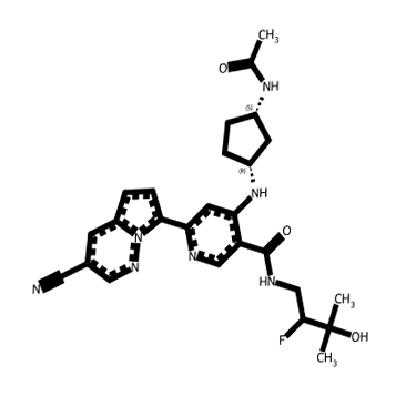 CC(=O)N[C@H]1CC[C@@H](Nc2cc(-c3ccc4cc(C#N)cnn34)ncc2C(=O)NCC(F)C(C)(C)O)C1